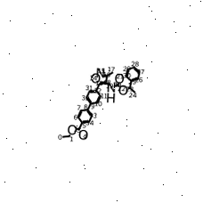 CCOC(=O)c1ccc(-c2ccc(-c3onc(C)c3NC(=O)OC(C)c3ccccc3)cc2)cc1